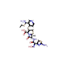 CCSC(N)c1cnccc1SC1=C(C(=O)O)N2C(=O)[C@@H](NC(=O)/C(=N\O)c3csc(N)n3)[C@@H]2SC1